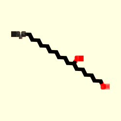 O=C(O)CCCCCCCCCCC(O)CCCCCCO